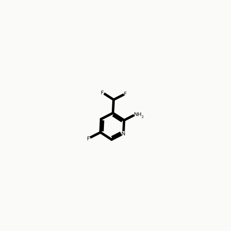 Nc1ncc(F)cc1C(F)F